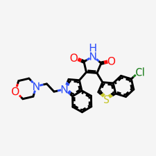 O=C1NC(=O)C(c2cn(CCN3CCOCC3)c3ccccc23)=C1c1csc2ccc(Cl)cc12